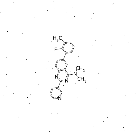 Cc1cccc(-c2ccc3nc(-c4cccnc4)nc(N(C)C)c3c2)c1F